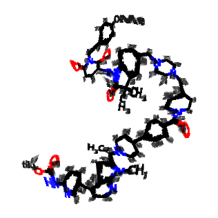 COc1ccc(CN2C(=O)CCC(N3C(=O)C(C)(C)c4cc(CN5CCN(CC6CCN(C(=O)c7ccc(C8CCN([C@@H](C)c9cc%10c(-c%11ccc(NC(=O)OC(C)(C)C)nc%11)ccnc%10n9C)CC8)cc7)CC6)CC5)ccc43)C2=O)cc1